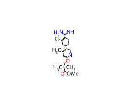 COC(=O)C(C)(C)COc1cc(C)c(-c2ccc(C(=N)N)c(Cl)c2)cn1